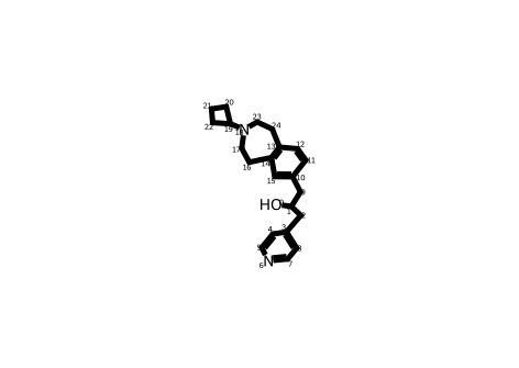 OC(Cc1ccncc1)Cc1ccc2c(c1)CCN(C1CCC1)CC2